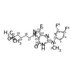 CN(c1ccc(F)c(F)c1)c1nc2c(F)nn(CCCCP(C)(C)=O)c2c(=O)[nH]1